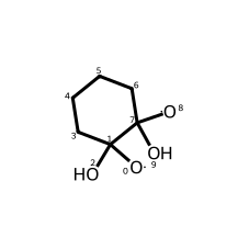 [O]C1(O)CCCCC1([O])O